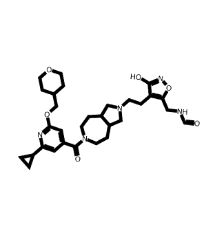 O=CNCc1onc(O)c1CCN1CC2CCN(C(=O)c3cc(OCC4CCOCC4)nc(C4CC4)c3)CCC2C1